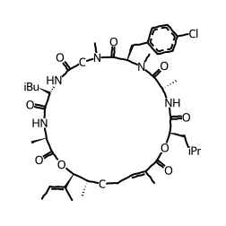 C/C=C(\C)[C@H]1OC(=O)[C@@H](C)NC(=O)[C@H]([C@H](C)CC)NC(=O)CN(C)C(=O)[C@@H](Cc2ccc(Cl)cc2)N(C)C(=O)[C@H](C)NC(=O)[C@@H](CC(C)C)OC(=O)/C(C)=C/CC[C@@H]1C